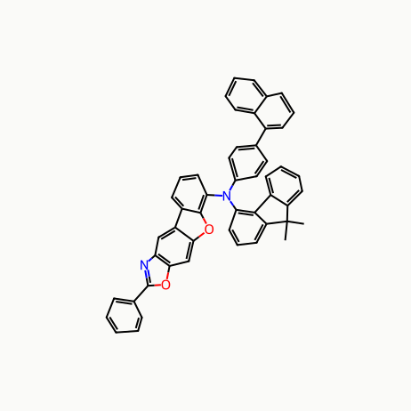 CC1(C)c2ccccc2-c2c(N(c3ccc(-c4cccc5ccccc45)cc3)c3cccc4c3oc3cc5oc(-c6ccccc6)nc5cc34)cccc21